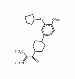 COc1ccc(C2CCN(C(=O)/C(=N/O)C(=O)O)CC2)cc1OC1CCCC1